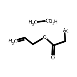 C=CCOC(=O)CC(C)=O.CC(=O)O